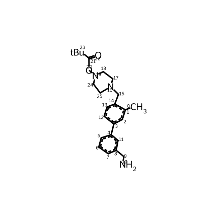 Cc1cc(-c2cccc(CN)c2)ccc1CN1CCN(OC(=O)C(C)(C)C)CC1